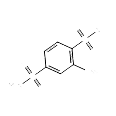 CNS(=O)(=O)c1ccc(S(N)(=O)=O)c(OC)c1